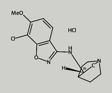 COc1ccc2c(N[C@@H]3CN4CCC3CC4)noc2c1Cl.Cl